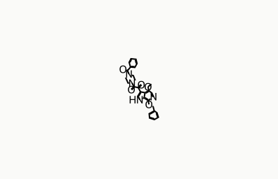 COc1cnc(OCc2ccccc2)c2[nH]cc(C(=O)C(=O)N3CCN(C(=O)c4ccccc4)CC3)c12